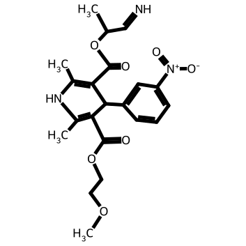 COCCOC(=O)C1=C(C)NC(C)=C(C(=O)OC(C)C=N)C1c1cccc([N+](=O)[O-])c1